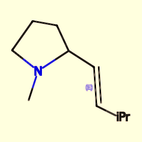 CC(C)/C=C/C1CCCN1C